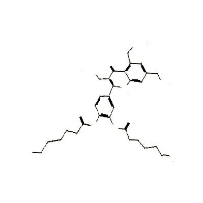 CCCCCCCCCCCCCCCC(=O)Oc1ccc(-c2oc3cc(CC(=O)O)cc(CC(=O)O)c3c(=O)c2CC(=O)O)cc1OC(=O)CCCCCCCCCCCCCCC